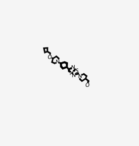 O=CC1CCN(c2nn3cc(-c4ccc(N5CCC(OCC6CCC6)CC5)cc4)nc3s2)CC1